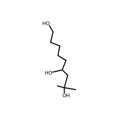 CC(C)(O)CC(O)CCCCCO